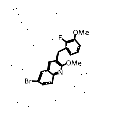 COc1cccc(Cc2cc3cc(Br)ccc3nc2OC)c1F